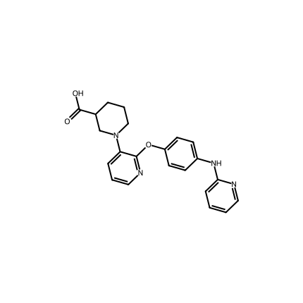 O=C(O)C1CCCN(c2cccnc2Oc2ccc(Nc3ccccn3)cc2)C1